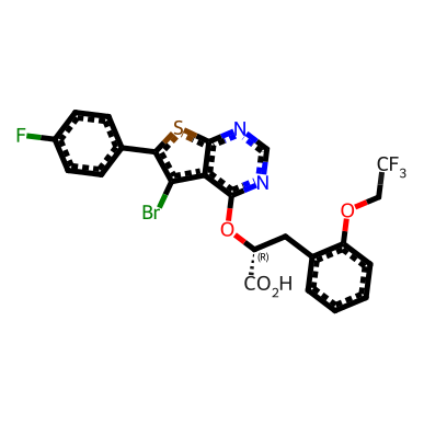 O=C(O)[C@@H](Cc1ccccc1OCC(F)(F)F)Oc1ncnc2sc(-c3ccc(F)cc3)c(Br)c12